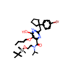 CCCCOc1c(O)nc(CC2(c3ccc(Br)cc3)CCCC2)nc1C(=O)N(CCO[Si](C)(C)C(C)(C)C)C(C)C